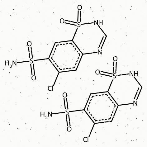 NS(=O)(=O)c1cc2c(cc1Cl)N=CNS2(=O)=O.NS(=O)(=O)c1cc2c(cc1Cl)N=CNS2(=O)=O